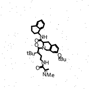 CN[C@@H](C)C(=O)NCC[C@H](C(=O)N1Cc2cc(OC(C)(C)C)ccc2CC1C(=O)NC1CCCc2ccccc21)C(C)(C)C